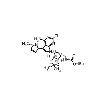 Cn1ccc(-c2cn([C@@H]3C[C@H](CNC(=O)OC(C)(C)C)[C@H]4OC(C)(C)O[C@H]43)c3nc(Cl)nc(N)c23)n1